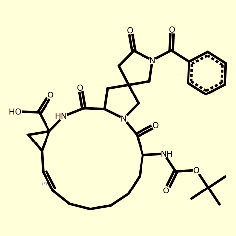 CC(C)(C)OC(=O)NC1CCCCC/C=C\C2CC2(C(=O)O)NC(=O)C2CC3(CC(=O)N(C(=O)c4ccccc4)C3)CN2C1=O